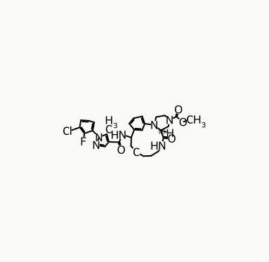 COC(=O)N1CCN2c3cccc(c3)C(NC(=O)c3cnn(-c4cccc(Cl)c4F)c3C)CCCCCNC(=O)[C@H]2C1